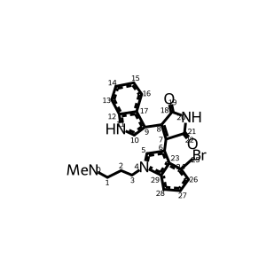 CNCCCn1cc(C2=C(c3c[nH]c4ccccc34)C(=O)NC2=O)c2c(Br)cccc21